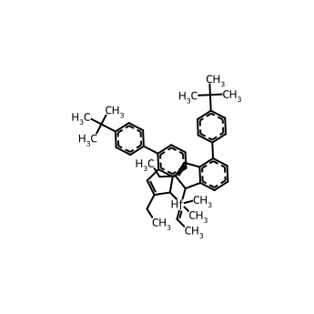 C[CH]=[Hf]([CH3])([CH3])([CH]1C(CC)=Cc2c(-c3ccc(C(C)(C)C)cc3)cccc21)[CH]1C(CC)=Cc2c(-c3ccc(C(C)(C)C)cc3)cccc21